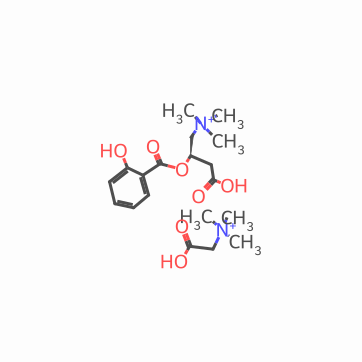 C[N+](C)(C)CC(=O)O.C[N+](C)(C)C[C@@H](CC(=O)O)OC(=O)c1ccccc1O